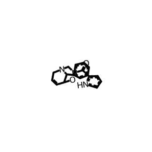 O=C(c1ccc[nH]1)N1CN2CC=CC(O1)C2c1ccccc1